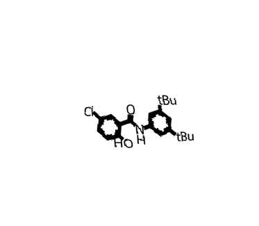 CC(C)(C)c1cc(NC(=O)c2cc(Cl)ccc2O)cc(C(C)(C)C)c1